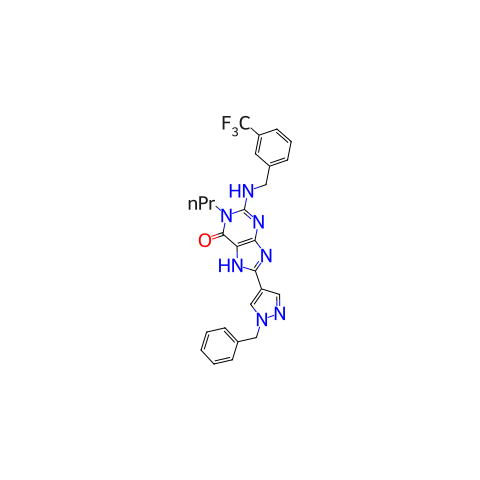 CCCn1c(NCc2cccc(C(F)(F)F)c2)nc2nc(-c3cnn(Cc4ccccc4)c3)[nH]c2c1=O